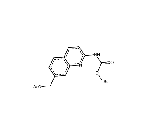 CC(=O)OCc1ccc2ccc(NC(=O)OC(C)(C)C)nc2c1